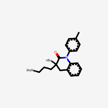 CCCCC1(CCCNC)Cc2ccccc2N(c2ccc(C)cc2)C1=O